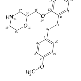 COc1ccc(CCc2ccccc2OCC2CNCCO2)cc1